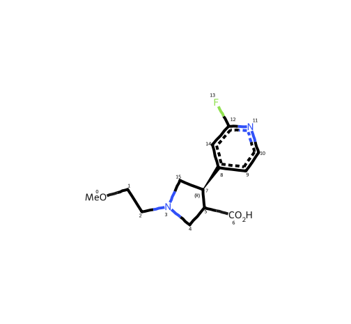 COCCN1CC(C(=O)O)[C@H](c2ccnc(F)c2)C1